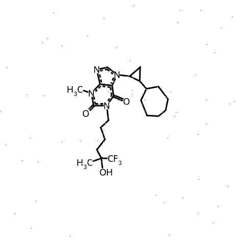 Cn1c(=O)n(CCCCC(C)(O)C(F)(F)F)c(=O)c2c1ncn2C1CC1C1CCCCCC1